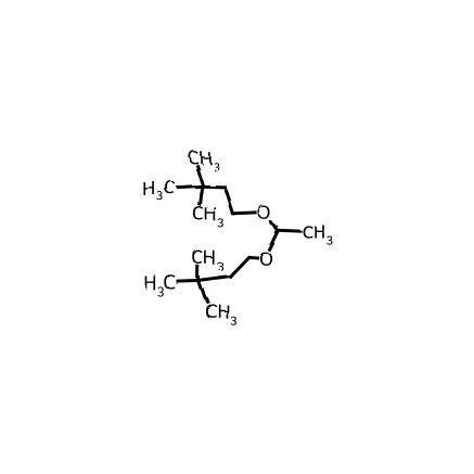 C[C](OCCC(C)(C)C)OCCC(C)(C)C